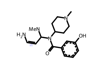 CNC(/C=C\N)N(C(=O)c1cccc(O)c1)C1CCN(C)CC1